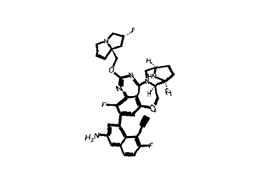 C#Cc1c(F)ccc2cc(N)cc(-c3cc4c5c(nc(OC[C@@]67CCCN6C[C@H](F)C7)nc5c3F)N3C[C@H]5CC[C@H](N5)[C@H]3CO4)c12